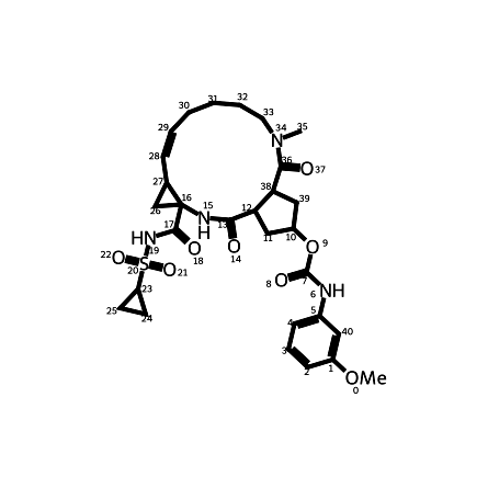 COc1cccc(NC(=O)OC2CC3C(=O)NC4(C(=O)NS(=O)(=O)C5CC5)CC4C=CCCCCN(C)C(=O)C3C2)c1